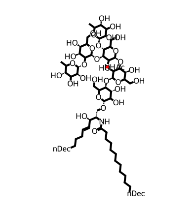 CCCCCCCCCCCCC/C=C/[C@@H](O)[C@H](CO[C@@H]1OC(CO)[C@@H](O[C@@H]2OC(CO)[C@H](O)[C@H](O[C@@H]3OC(CO)[C@@H](O[C@H]4OC(C)[C@@H](O)C(O)[C@@H]4O)[C@H](O[C@@H]4OC(CO)[C@H](O)[C@H](O)C4O[C@H]4OC(C)[C@@H](O)C(O)[C@@H]4O)C3NC(C)=O)C2O)[C@H](O)C1O)NC(=O)CCCCCCCCCCCCCCCCCCCCC